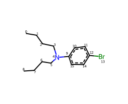 CCCCN(CCCC)c1ccc(Br)cc1